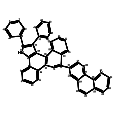 c1ccc(-c2[nH]c3c4ccccc4c4cc(-c5cnc6c(ccc7cccnc76)c5)c5ccccc5c4c3c2-c2ccccc2)cc1